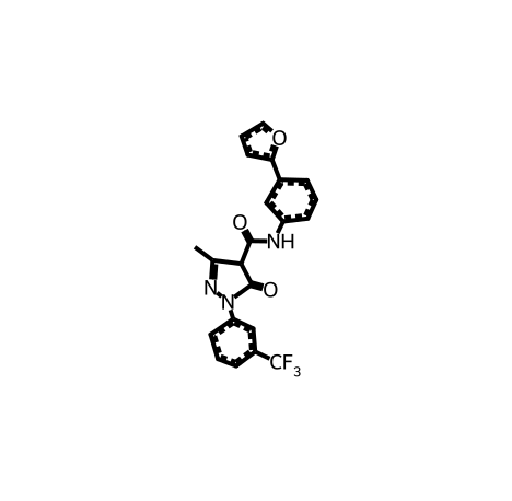 CC1=NN(c2cccc(C(F)(F)F)c2)C(=O)C1C(=O)Nc1cccc(-c2ccco2)c1